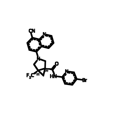 N#Cc1ccc(N2C[C@]3(C(=O)Nc4ccc(Br)cn4)C[C@]3(C(F)(F)F)C2)c2cccnc12